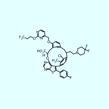 Cc1c2ccc(c1Cl)C(CCN1CCC(F)(F)CC1)Cc1ccc(OCc3ccnc(OCCC(F)(F)F)n3)c(c1)C[C@H](C(=O)O)Oc1ncnc3sc(-c4ccc(F)cc4)c-2c13